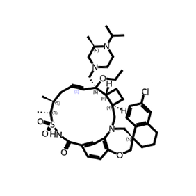 CCO[C@]1(CN2CCN(C(C)C)[C@H](C)C2)/C=C/C[C@H](C)[C@@H](C)S(=O)(=O)NC(=O)c2ccc3c(c2)N(C[C@@H]2CC[C@H]21)C[C@@]1(CCCc2cc(Cl)ccc21)CO3